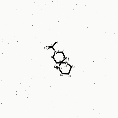 CC(=O)N1CCC2(CC1)NCCCN2